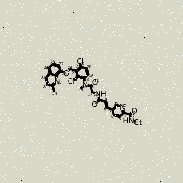 CCNC(=O)c1ccc(/C=C/C(=O)NCC(=O)N(C)c2ccc(Cl)c(COc3cccc4ccc(C)nc34)c2Cl)cn1